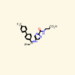 CC(C)C[C@@H](Nc1cnc(C(=O)NCCC(=O)O)nc1)c1ccc(-c2ccc(C(F)(F)F)cc2)cc1